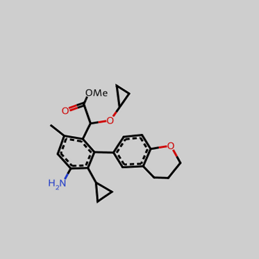 COC(=O)C(OC1CC1)c1c(C)cc(N)c(C2CC2)c1-c1ccc2c(c1)CCCO2